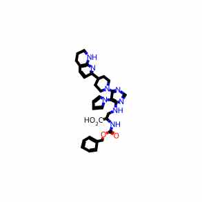 O=C(NC(CNc1ncnc(N2CCC(c3ccc4c(n3)NCCC4)CC2)c1-n1cccc1)C(=O)O)OCc1ccccc1